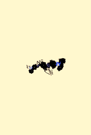 CCn1c2ccccc2c2cc(/C=C/c3cc(C#N)c(/C=C/c4ccc(-n5c6ccccc6c6ccccc65)cc4)cc3C#N)ccc21